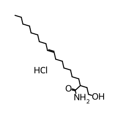 CCCCCCCCC=CCCCCCCC(CCO)C(N)=O.Cl